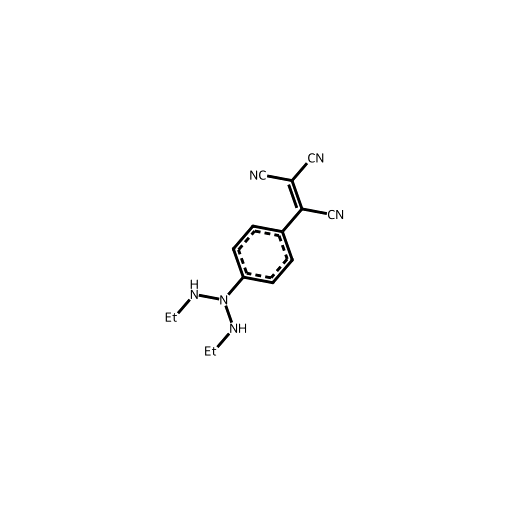 CCNN(NCC)c1ccc(C(C#N)=C(C#N)C#N)cc1